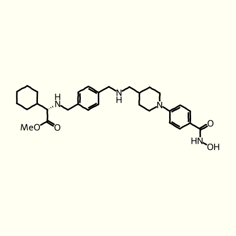 COC(=O)[C@@H](NCc1ccc(CNCC2CCN(c3ccc(C(=O)NO)cc3)CC2)cc1)C1CCCCC1